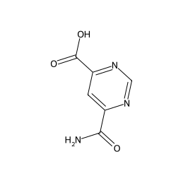 NC(=O)c1cc(C(=O)O)ncn1